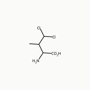 CC(C(Cl)Cl)C(N)C(=O)O